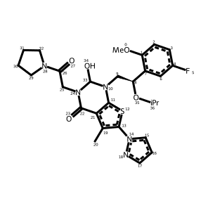 COc1ccc(F)cc1[C@H](CN1c2sc(-n3cccn3)c(C)c2C(=O)N(CC(=O)N2CCCC2)C1O)OC(C)C